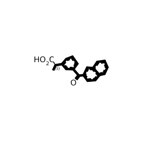 C[C@H](C(=O)O)c1cccc(C(=O)c2ccc3ccccc3c2)c1